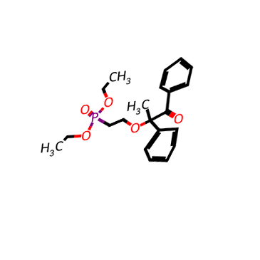 CCOP(=O)(CCOC(C)(C(=O)c1ccccc1)c1ccccc1)OCC